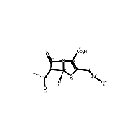 CCCNCC1=C(C(=O)O)N2C(=O)[C@H]([C@@H](C)O)[C@H]2S1